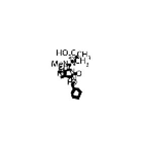 CN/C(=N\OC(C)(C)C(=O)O)[C@@H]1c2c(cnn2C)[C@@H]2CN1C(=O)N2OCc1ccccc1